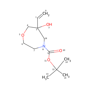 C=CC1(O)COCCN(C(=O)OC(C)(C)C)C1